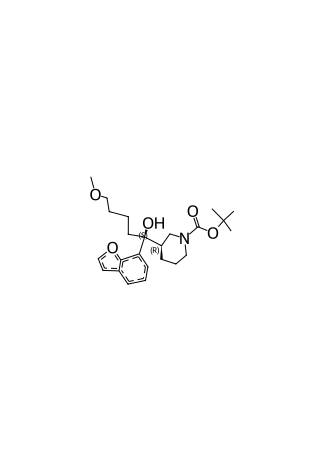 COCCCC[C@@](O)(c1cccc2ccoc12)[C@@H]1CCCN(C(=O)OC(C)(C)C)C1